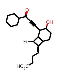 CCC1C(=CCCC(=O)O)C2CCC(O)C(C#CC(=O)C3CCCCC3)C12